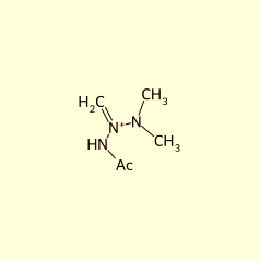 C=[N+](NC(C)=O)N(C)C